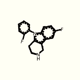 Fc1ccc2c(c1)c1c(n2-c2ccccc2F)CCNC1